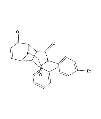 CCc1ccc(N2C(=O)C3C(C2=O)C2C(=O)C=CC3N2Cc2ccccc2I)cc1